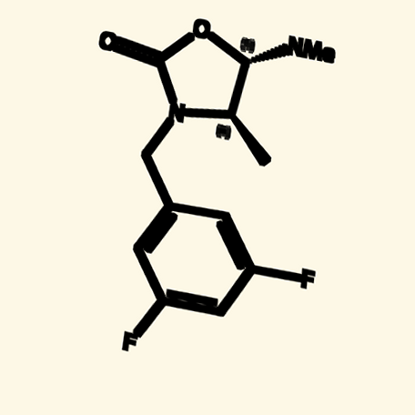 CN[C@H]1OC(=O)N(Cc2cc(F)cc(F)c2)[C@@H]1C